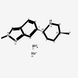 C[C@H]1CC[C@H](c2ccc3cn(C)nc3c2)NC1.[BH4-].[Na+]